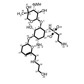 CN[C@@H]1[C@@H](O)[C@@H](O[C@@H]2[C@@H](O)[C@H](O[C@@H]3CCC=C(CNCCO)O3)[C@@H](N)C[C@H]2NS(=O)(=O)CCN)OC[C@]1(C)O